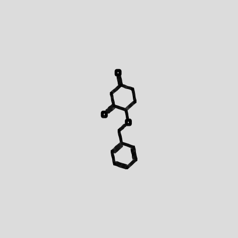 O=C1CCC(OCc2ccccc2)C(=O)C1